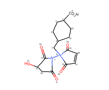 O=C(O)C1CCC(C[N+]2(N3C(=O)CC(O)C3=O)C(=O)C=CC2=O)CC1